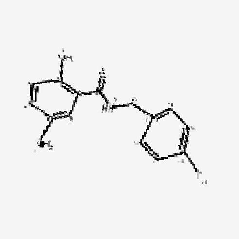 Nc1ccc(O)c(C(=O)NCc2ccc(F)cc2)c1